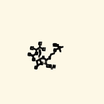 C=CC[C@]12SC(SCCO[Si](C)(C)C(C)(C)C)=C(C(=O)O)N1C(=O)[C@@H]2OC(=O)OC(Cl)C(Cl)Cl